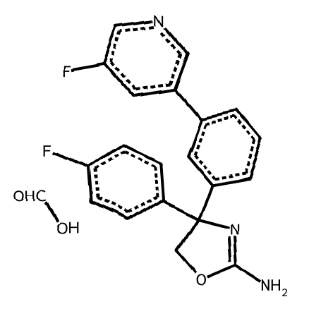 NC1=NC(c2ccc(F)cc2)(c2cccc(-c3cncc(F)c3)c2)CO1.O=CO